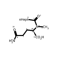 CCCCCCCC(=O)N(C)[C@H](CCC(N)=O)C(=O)O